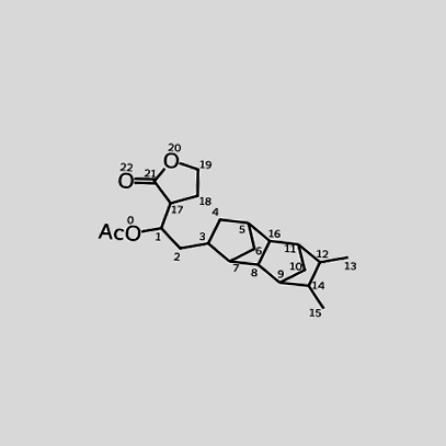 CC(=O)OC(CC1CC2CC1C1C3CC(C(C)C3C)C21)C1CCOC1=O